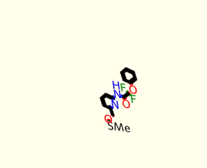 CSOCc1cccc(NC(=O)C(F)(F)Oc2ccccc2)n1